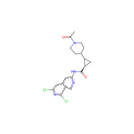 CC(=O)N1CCC(C2C[C@H]2C(=O)Nc2cc3cc(Cl)nc(Cl)c3cn2)CC1